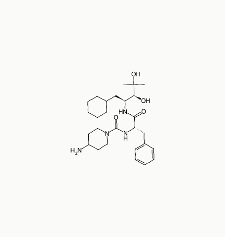 CC(C)(O)[C@@H](O)[C@H](CC1CCCCC1)NC(=O)[C@H](Cc1ccccc1)NC(=O)N1CCC(N)CC1